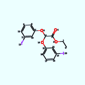 CCOC(=O)C(Oc1cccc(I)c1)Oc1cccc(I)c1